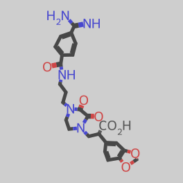 N=C(N)c1ccc(C(=O)NCCCN2CCN(CC(C(=O)O)c3ccc4c(c3)OCO4)C(=O)C2=O)cc1